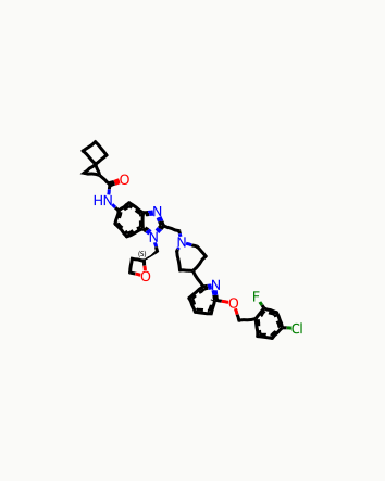 O=C(Nc1ccc2c(c1)nc(CN1CCC(c3cccc(OCc4ccc(Cl)cc4F)n3)CC1)n2C[C@@H]1CCO1)C1CC12CCC2